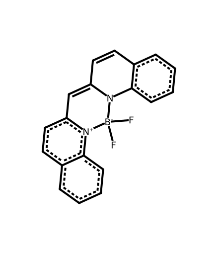 F[B-]1(F)N2C(=Cc3ccc4ccccc4[n+]31)C=Cc1ccccc12